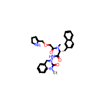 CCNC(=O)N(Cc1ccccc1)NC(=O)[C@@H](Cc1ccc2ccccc2c1)N(C)C(=O)COCC1=CCCN1